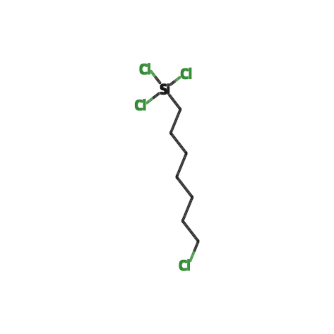 ClCCCCCCC[Si](Cl)(Cl)Cl